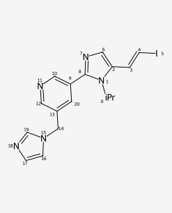 CC(C)n1c(/C=C/I)cnc1-c1cncc(Cn2ccnc2)c1